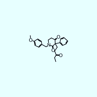 CCC(=O)CCC1(c2ccccc2)C(=O)CCN(Cc2ccc(OC)cc2)C1=O